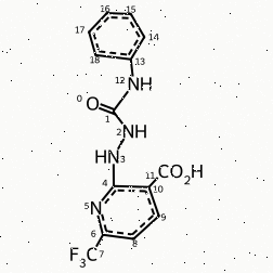 O=C(NNc1nc(C(F)(F)F)ccc1C(=O)O)Nc1ccccc1